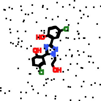 OCCn1nc(-c2cc(Cl)ccc2O)nc1-c1cc(Cl)ccc1O